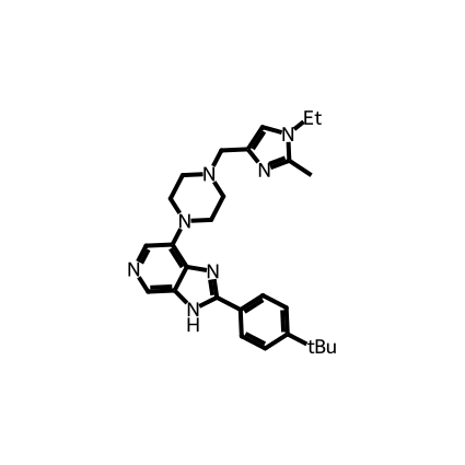 CCn1cc(CN2CCN(c3cncc4[nH]c(-c5ccc(C(C)(C)C)cc5)nc34)CC2)nc1C